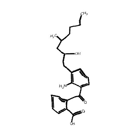 CCCCC(C)CC(O)Cc1cccc(C(=O)c2ccccc2C(=O)O)c1N